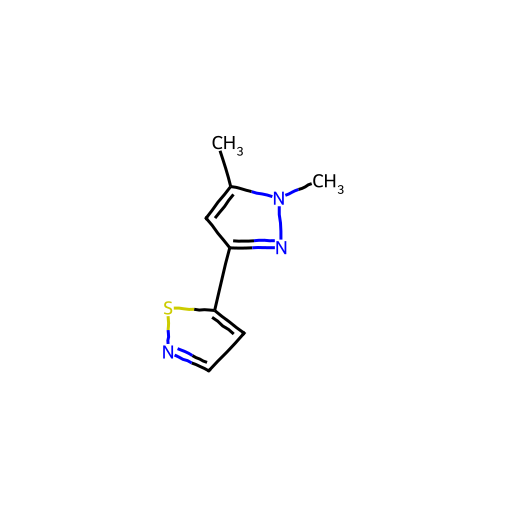 Cc1cc(-c2ccns2)nn1C